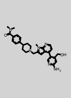 CN(C)C(=O)c1ccc(C2CCN(Cc3cc4c(-c5cnc(N)cc5CO)ccnc4n3C)CC2)cc1